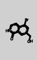 O=c1[nH]ccc2c(Br)cc(CO)cc12